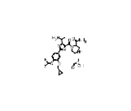 CC(N)c1oc(-c2ccc(OC(F)F)c(OCC3CC3)c2)nc1C(=O)N1CCNCC1C(N)=O.COC=O.Cl